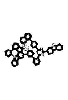 CC1(C)c2cccc3c2-c2c1c(-c1cccc(-c4ccccc4-c4nc(-c5ccc(-c6cccc7ccccc67)cc5)nc(-c5ccc6c(c5)sc5ccccc56)n4)c1)cc1c4ccccc4n(c21)-c1ccccc1-3